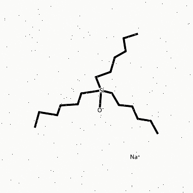 CCCCCC[Si]([O-])(CCCCCC)CCCCCC.[Na+]